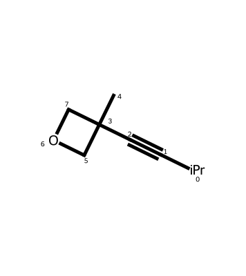 CC(C)C#CC1(C)COC1